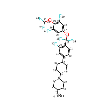 CCCC[C@H]1CC[C@H]([C@H]2CC[C@H](c3ccc(C(F)(F)Oc4cc(F)c(OC(F)F)c(F)c4)c(F)c3)CC2)CC1